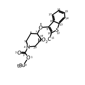 CC(C)(C)OC(=O)N1CCC(Oc2c(C(=O)O)sc3ccccc23)CC1